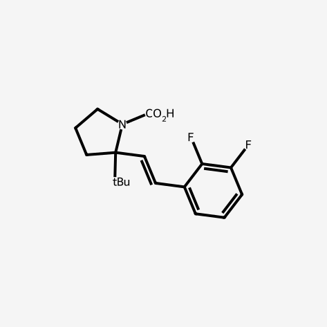 CC(C)(C)C1(C=Cc2cccc(F)c2F)CCCN1C(=O)O